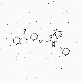 CC1(C)OB([C@H](CCc2ccccc2)NC(=O)CCOc2cccc(/C=C(\C#N)c3ccccn3)c2)OC1(C)C